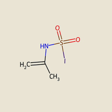 C=C(C)NS(=O)(=O)I